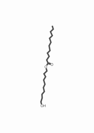 CCCCCCCCCCCC(=O)OCCCCCCCCCCO